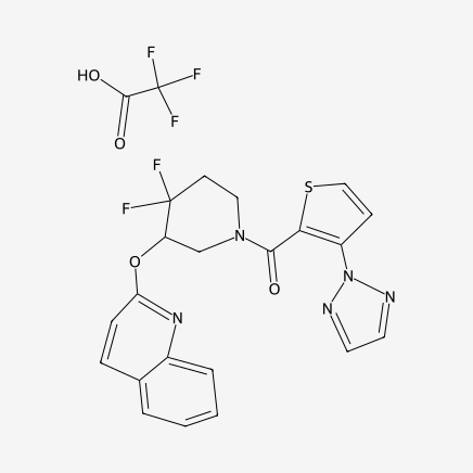 O=C(O)C(F)(F)F.O=C(c1sccc1-n1nccn1)N1CCC(F)(F)C(Oc2ccc3ccccc3n2)C1